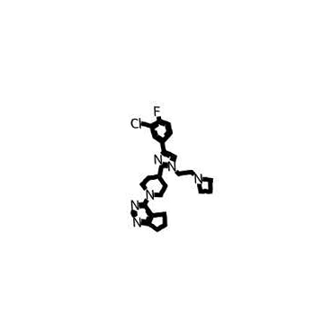 Fc1ccc(-c2cn(CCN3CCC3)c(C3CCN(c4ncnc5c4CCC5)CC3)n2)cc1Cl